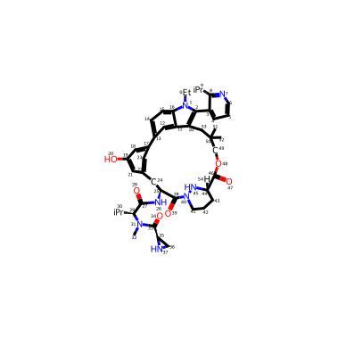 CCn1c(-c2cccnc2C(C)C)c2c3cc(ccc31)-c1cc(O)cc(c1)C[C@H](NC(=O)[C@H](C(C)C)N(C)C(=O)[C@H]1CN1)C(=O)N1CCC[C@H](N1)C(=O)OCC(C)(C)C2